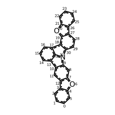 c1ccc2c(c1)oc1cc3c(cc12)c1cccc2c4c5oc6ccccc6c5ccc4n3c12